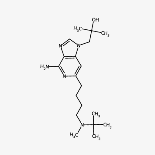 CN(CCCCc1cc2c(ncn2CC(C)(C)O)c(N)n1)C(C)(C)C